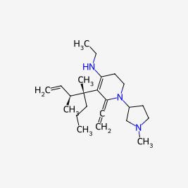 C=C=C1C([C@](C)(CCC)[C@@H](C)C=C)=C(NCC)CCN1C1CCN(C)C1